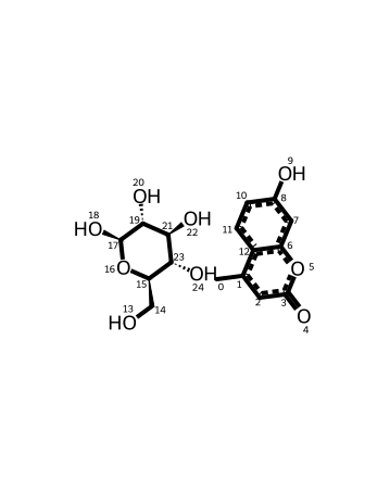 Cc1cc(=O)oc2cc(O)ccc12.OC[C@H]1O[C@@H](O)[C@H](O)[C@@H](O)[C@@H]1O